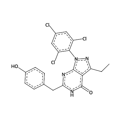 CCc1nn(-c2c(Cl)cc(Cl)cc2Cl)c2nc(Cc3ccc(O)cc3)[nH]c(=O)c12